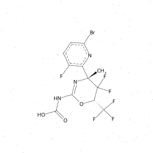 C[C@]1(c2nc(Br)ccc2F)N=C(NC(=O)O)O[C@@H](C(F)(F)F)C1(F)F